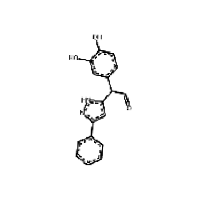 O=CC(c1ccc(O)c(O)c1)c1cc(-c2ccccc2)n[nH]1